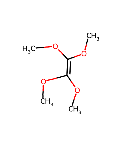 COC(OC)=C(OC)OC